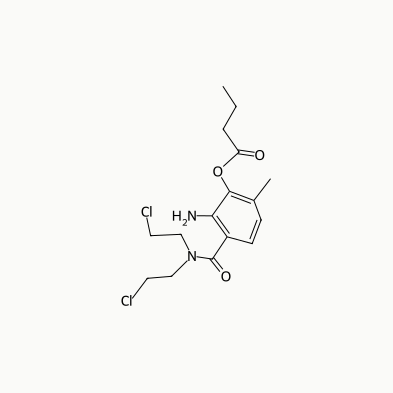 CCCC(=O)Oc1c(C)ccc(C(=O)N(CCCl)CCCl)c1N